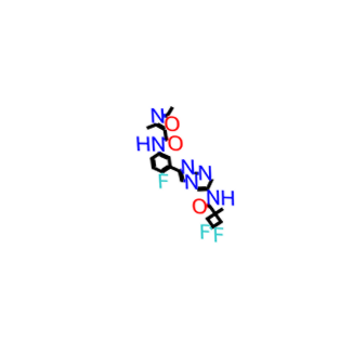 Cc1nc(C)c(C(=O)Nc2ccc(F)c(-c3cn4cc(NC(=O)C5(C)CC(F)(F)C5)cnc4n3)c2)o1